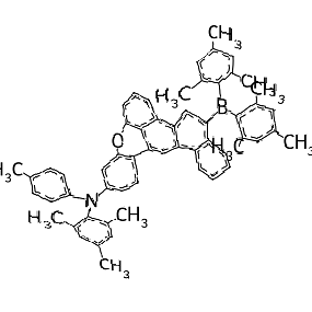 Cc1ccc(N(c2ccc3c(c2)Oc2cccc4c2c-3cc2c3ccccc3c(B(c3c(C)cc(C)cc3C)c3c(C)cc(C)cc3C)cc42)c2c(C)cc(C)cc2C)cc1